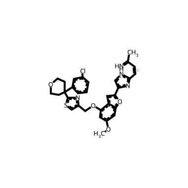 COc1cc(OCc2csc(C3(c4cccc(Cl)c4)CCOCC3)n2)c2cc(-c3c[nH]c(/C=C\C(C)=N)n3)oc2c1